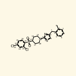 Cc1ccccc1Cc1csc(N2CCC(S(=O)(=O)c3ccc(Cl)cc3Cl)CC2)n1